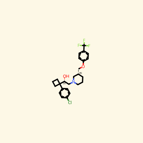 O[C@H](CN1CCC[C@@H](COc2ccc(C(F)(F)F)cc2)C1)C1(c2ccc(Cl)cc2)CCC1